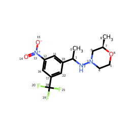 CC(NN1CCO[C@H](C)C1)c1cc([N+](=O)[O-])cc(C(F)(F)F)c1